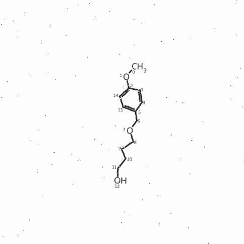 COc1ccc(COCCCCO)cc1